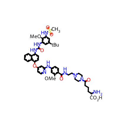 COc1cc(Nc2cc(Oc3ccc(NC(=O)Nc4cc(C(C)(C)C)cc(NS(C)(=O)=O)c4OC)c4ccccc34)ccn2)ccc1C(=O)NCCN1CCN(C(=O)CCC[C@H](N)C(=O)O)CC1